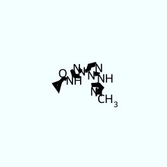 Cn1cc(Nc2nccc(-n3cc(NC(=O)C4CC4)cn3)n2)cn1